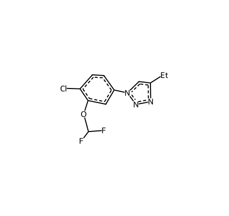 CCc1cn(-c2ccc(Cl)c(OC(F)F)c2)nn1